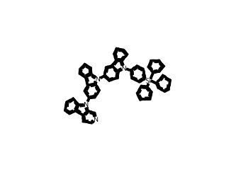 c1ccc([Si](c2ccccc2)(c2ccccc2)c2ccc(-n3c4ccccc4c4cc(-n5c6ccccc6c6cc(-n7c8ccccc8c8ccncc87)ccc65)ccc43)cc2)cc1